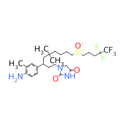 Cc1cc(C(CCN2CC(=O)NC2=O)CC(C)(C)CCCC[S+]([O-])CCCC(F)(F)C(F)(F)F)ccc1N